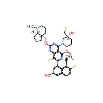 C#Cc1c(F)ccc2cc(O)cc(-c3nc(OC)c4c(N5CCC[C@](O)(CF)C5)nc(OC[C@]56CCC[C@H]5N(C)CCC6)nc4c3F)c12